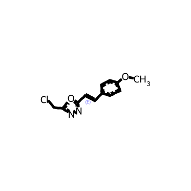 COc1ccc(/C=C/c2nnc(CCl)o2)cc1